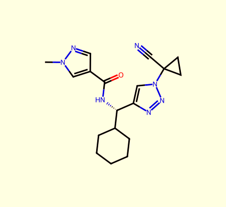 Cn1cc(C(=O)N[C@H](c2cn(C3(C#N)CC3)nn2)C2CCCCC2)cn1